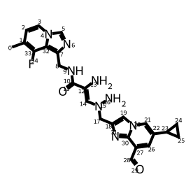 Cc1ccn2cnc(CNC(=O)/C(N)=C/N(N)Cc3cn4cc(C5CC5)cc(C=O)c4n3)c2c1F